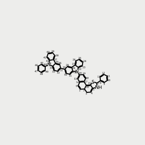 C1=CC2CC=C3NC(c4ccccc4)SC3=C2c2ccc(-n3c4ccccc4c4cc(-c5ccc6c(c5)c5ccccc5n6-c5ccccc5)ccc43)cc21